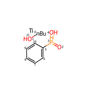 CCCCO.O=[PH](O)c1ccccc1.[Ti]